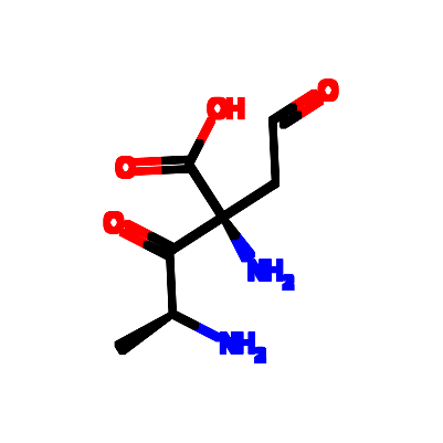 C[C@H](N)C(=O)[C@@](N)(CC=O)C(=O)O